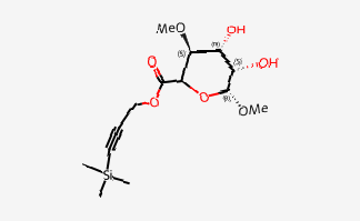 CO[C@@H]1OC(C(=O)OCC#C[Si](C)(C)C)[C@@H](OC)[C@H](O)[C@@H]1O